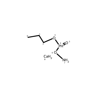 CCCO[PH](=O)ON.[CaH2]